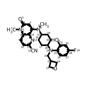 CN(c1cc(=O)n(C)c2ccc(C#N)nc12)C1CCC(N(CC2COC2)c2ccc(F)cc2O)CC1